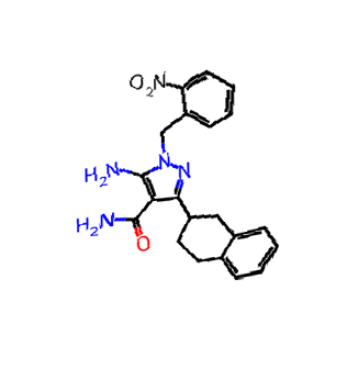 NC(=O)c1c(C2CCc3ccccc3C2)nn(Cc2ccccc2[N+](=O)[O-])c1N